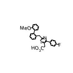 COc1ccccc1-c1ccccc1Cc1nc(-c2ccc(F)cc2)c(CC(=O)O)s1